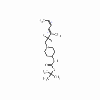 C/C=C\C=C(/C)C(F)(F)CN1CCC(NC(=O)OC(C)(C)C)CC1